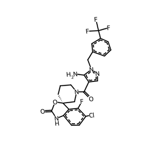 Nc1c(C(=O)N2CCC[C@@]3(C2)OC(=O)Nc2ccc(Cl)c(F)c23)cnn1Cc1cccc(C(F)(F)F)c1